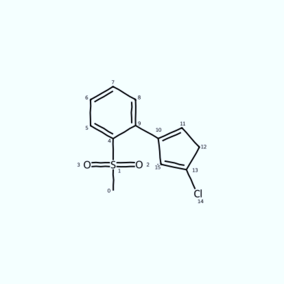 CS(=O)(=O)c1ccccc1C1=CCC(Cl)=[C]1